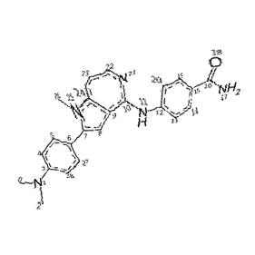 CN(C)c1ccc(-c2cc3c(Nc4ccc(C(N)=O)cc4)nccc3n2C)cc1